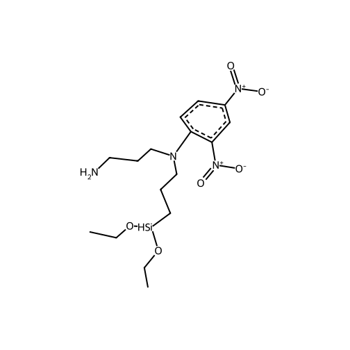 CCO[SiH](CCCN(CCCN)c1ccc([N+](=O)[O-])cc1[N+](=O)[O-])OCC